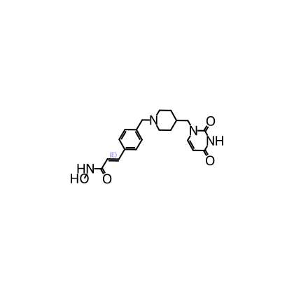 O=C(/C=C/c1ccc(CN2CCC(Cn3ccc(=O)[nH]c3=O)CC2)cc1)NO